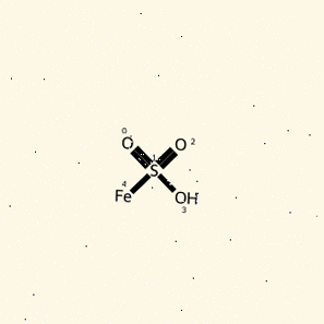 O=[S](=O)(O)[Fe]